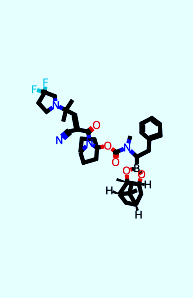 CN(C(=O)OC12CCC(CC1)N2C(=O)C(C#N)=CC(C)(C)N1CCC(F)(F)C1)C(Cc1ccccc1)B1O[C@@H]2C[C@@H]3C[C@@H](C3(C)C)[C@]2(C)O1